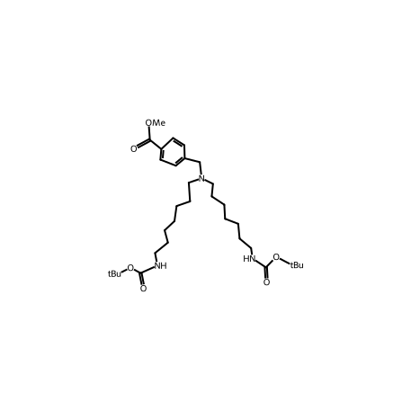 COC(=O)c1ccc(CN(CCCCCCCNC(=O)OC(C)(C)C)CCCCCCCNC(=O)OC(C)(C)C)cc1